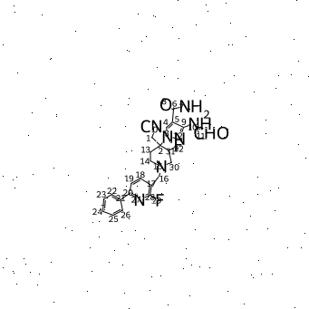 N#CCC1(n2cc(C(N)=O)c(NC=O)n2)CCN(Cc2ccc(-c3ccccc3)nc2F)CC1F